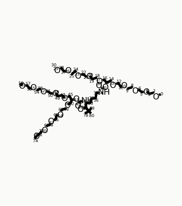 COCCOCCOCCOCCOCC(COCCOCCOCCOCCOC)OC(=O)NCCCCC(NC(=O)OC(COCCOCCOCCOCCOC)COCCOCCOCCOCCOC)C(=O)C(C)(C)C